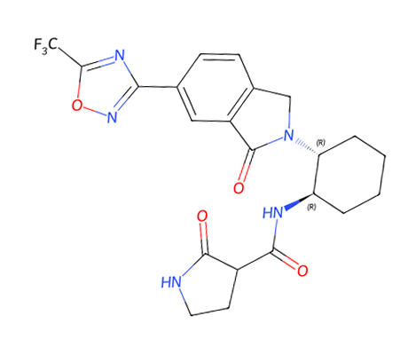 O=C1NCCC1C(=O)N[C@@H]1CCCC[C@H]1N1Cc2ccc(-c3noc(C(F)(F)F)n3)cc2C1=O